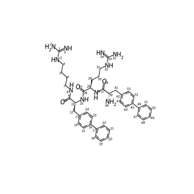 N=C(N)NCCCCNC(=O)[C@H](Cc1ccc(-c2ccccc2)cc1)NC(=O)[C@@H](CCCNC(=N)N)NC(=O)[C@@H](N)Cc1ccc(-c2ccccc2)cc1